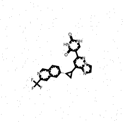 O=c1[nH]cc(-c2cc(C3C[C@@H]3c3ccc4cnc(C(F)(F)F)cc4c3)c3nccn3n2)c(=O)[nH]1